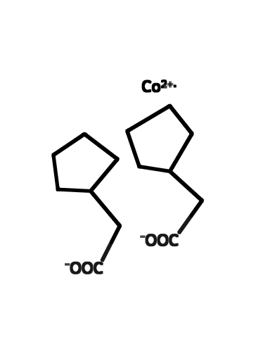 O=C([O-])CC1CCCC1.O=C([O-])CC1CCCC1.[Co+2]